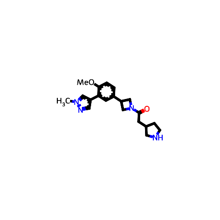 COc1ccc(C2CN(C(=O)CC3CCNC3)C2)cc1-c1cnn(C)c1